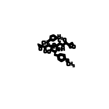 COc1ccc(C[C@H](NC(=O)[C@@H](C)NC(=O)C2COC2)C(=O)N[C@@H](CC2=CCCC2)C(=O)[C@@]2(C)CO2)cc1